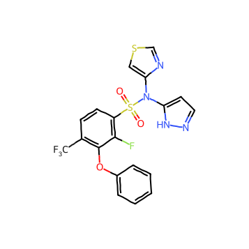 O=S(=O)(c1ccc(C(F)(F)F)c(Oc2ccccc2)c1F)N(c1cscn1)c1ccn[nH]1